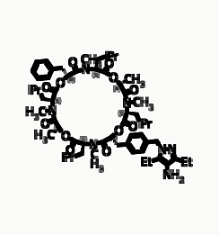 CCc1nn(Cc2ccc(C[C@H]3OC(=O)[C@H](CC(C)C)N(C)C(=O)[C@@H](C)OC(=O)[C@H](CC(C)C)N(C)C(=O)[C@@H](Cc4ccccc4)OC(=O)[C@H](CC(C)C)N(C)C(=O)[C@@H](C)OC(=O)[C@H](CC(C)C)N(C)C3=O)cc2)c(CC)c1N